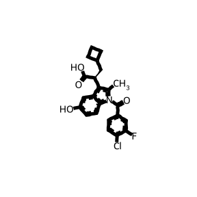 Cc1c([C@H](CC2CCC2)C(=O)O)c2cc(O)ccc2n1C(=O)c1ccc(Cl)c(F)c1